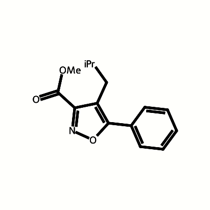 COC(=O)c1noc(-c2ccccc2)c1CC(C)C